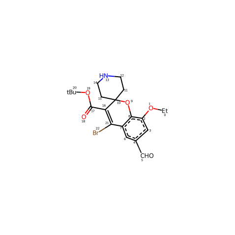 CCOc1cc(C=O)cc2c1OC1(CCNCC1)C(C(=O)OC(C)(C)C)=C2Br